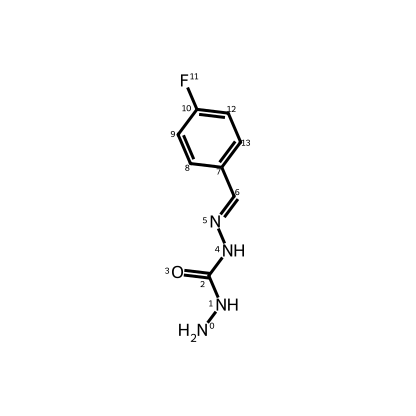 NNC(=O)NN=Cc1ccc(F)cc1